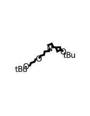 CC(C)(C)OCCCCOCCCCN1CCC1C1CC(OC(C)(C)C)C1